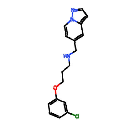 Clc1cccc(OCCCNCc2ccn3nccc3c2)c1